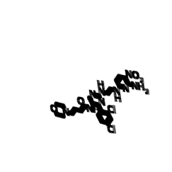 Nc1nc(NCCNc2ncc(NC(=O)CCCN3CCOCC3)c(-c3ccc(Cl)cc3Cl)n2)ccc1[N+](=O)[O-]